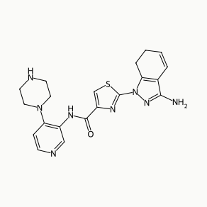 Nc1nn(-c2nc(C(=O)Nc3cnccc3N3CCNCC3)cs2)c2c1C=CCC2